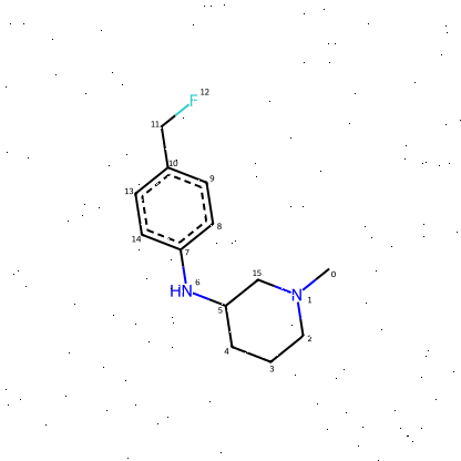 CN1CCCC(Nc2ccc(CF)cc2)C1